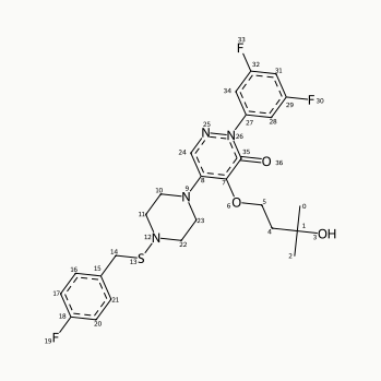 CC(C)(O)CCOc1c(N2CCN(SCc3ccc(F)cc3)CC2)cnn(-c2cc(F)cc(F)c2)c1=O